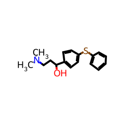 CN(C)CCC(O)c1ccc(Sc2ccccc2)cc1